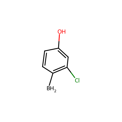 Bc1ccc(O)cc1Cl